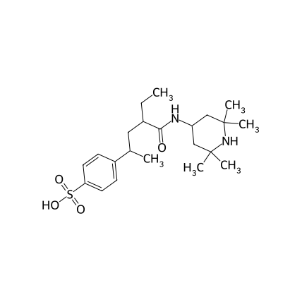 CCC(CC(C)c1ccc(S(=O)(=O)O)cc1)C(=O)NC1CC(C)(C)NC(C)(C)C1